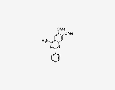 COc1cc2nc(-c3ccccn3)nc(N)c2cc1OC